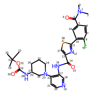 CN(C)C(=O)c1ccc(F)c(-c2nc(C(=O)Nc3cnccc3N3CCC[C@H](NC(=O)OC(C)(C)C)C3)cs2)c1